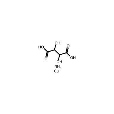 N.O=C(O)C(O)C(O)C(=O)O.[Cu]